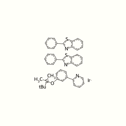 CC(C)(C)[Si](C)(C)Oc1cccc(-c2ccccn2)c1.[Ir].c1ccc(-c2nc3ccccc3s2)cc1.c1ccc(-c2nc3ccccc3s2)cc1